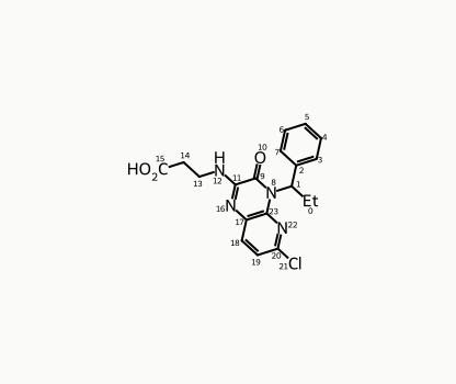 CCC(c1ccccc1)n1c(=O)c(NCCC(=O)O)nc2ccc(Cl)nc21